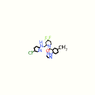 Cc1ccc(-n2nccn2)c(C(=O)N2CCC(F)(F)CC2CNc2ccc(Cl)cn2)c1